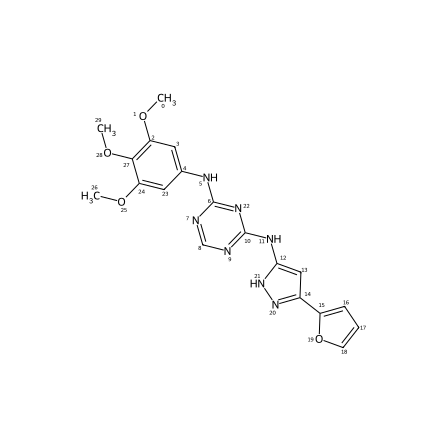 COc1cc(Nc2ncnc(Nc3cc(-c4ccco4)n[nH]3)n2)cc(OC)c1OC